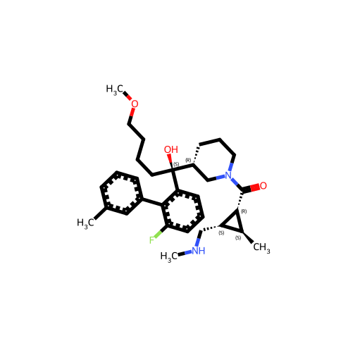 CNC[C@H]1[C@H](C)[C@H]1C(=O)N1CCC[C@@H]([C@@](O)(CCCCOC)c2cccc(F)c2-c2cccc(C)c2)C1